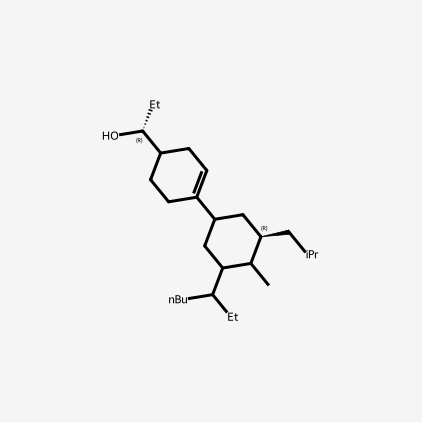 CCCCC(CC)C1CC(C2=CCC([C@H](O)CC)CC2)C[C@@H](CC(C)C)C1C